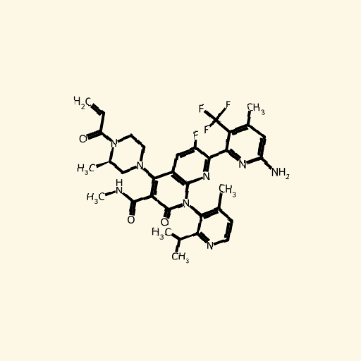 C=CC(=O)N1CCN(c2c(C(=O)NC)c(=O)n(-c3c(C)ccnc3C(C)C)c3nc(-c4nc(N)cc(C)c4C(F)(F)F)c(F)cc23)C[C@H]1C